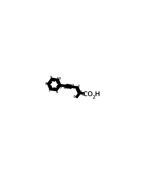 CC(=CC#Cc1ccccc1)C(=O)O